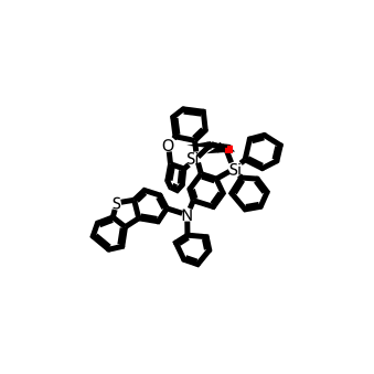 c1ccc(N(c2ccc3c(c2)[Si]2(c4ccccc4Oc4ccccc42)c2ccccc2[Si]3(c2ccccc2)c2ccccc2)c2ccc3sc4ccccc4c3c2)cc1